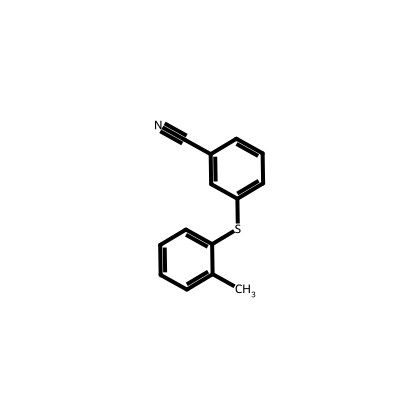 Cc1ccccc1Sc1cccc(C#N)c1